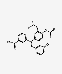 O=C(O)c1cccc(N(Cc2ccc[n+]([O-])c2)c2ccc(OC(F)F)c(OC(F)F)c2)c1